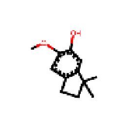 COc1cc2c(cc1O)C(C)(C)CC2